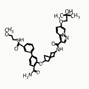 COCCNC(=O)c1cccc(-c2ccc(C(N)=O)c(OC3CC4(CC(NC(=O)c5cnn6cc(OCC(C)(C)O)ccc56)C4)C3)c2)c1